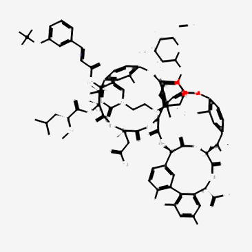 CN[C@@H](CC(C)C)C(=O)N[C@H]1C(=O)N[C@@H](CC(N)=O)C(=O)NC2C(=O)N[C@@H]3C(=O)N[C@@H](C(=O)N[C@@H](C(=O)O)c4cc(O)cc(O)c4-c4cc3ccc4O)[C@H](O)c3ccc(c(Cl)c3)Oc3cc2cc(c3OC2O[C@@H](CO)[C@@H](O)[C@@H](O)[C@H]2O[C@H]2CC(C)(NCCn3ccc(NC(=O)/C=C/c4cccc(OC(F)(F)F)c4)nc3=O)[C@@H](O)[C@@H](C)O2)Oc2ccc(cc2Cl)[C@H]1O